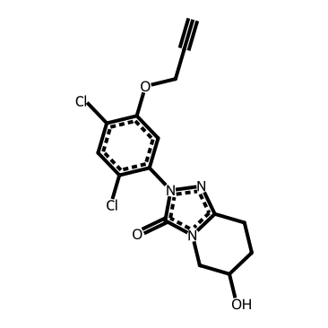 C#CCOc1cc(-n2nc3n(c2=O)CC(O)CC3)c(Cl)cc1Cl